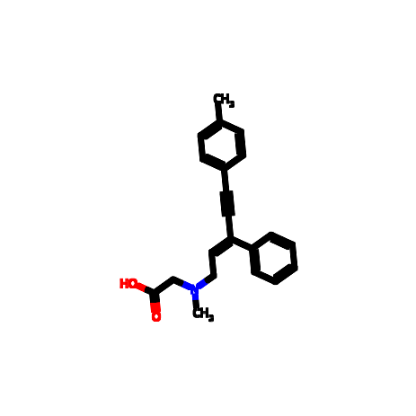 Cc1ccc(C#CC(=CCN(C)CC(=O)O)c2ccccc2)cc1